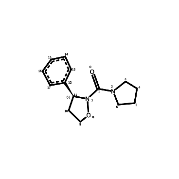 O=C(N1CCCC1)N1OCC[C@H]1c1ccccc1